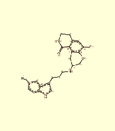 N#Cc1ccc2[nH]cc(CCCNC3COc4c(F)cc5c(c4C3)C(=O)NCC5)c2c1